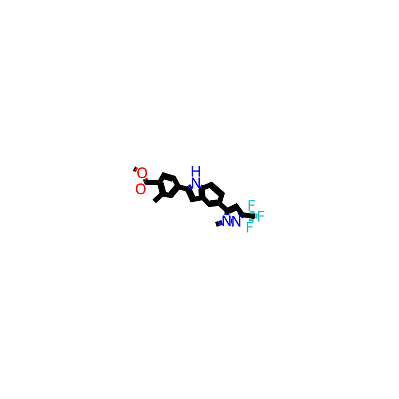 COC(=O)c1ccc(-c2cc3cc(-c4cc(C(F)(F)F)nn4C)ccc3[nH]2)cc1C